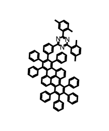 Cc1ccc(C)c(-c2nc(-c3cccc(-c4c(-c5ccccc5)c(-c5ccccc5)c5c6cccc7c8c(-c9ccccc9)c(-c9ccccc9)c(-c9ccccc9)c(-c9ccccc9)c8c8cccc(c5c4-c4ccccc4)c8c76)c3)nc(-c3cc(C)ccc3C)n2)c1